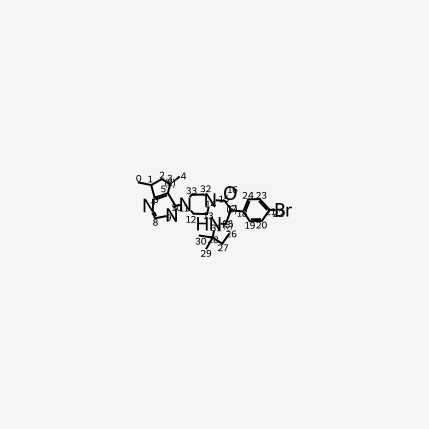 CC1C[C@@H](C)c2c1ncnc2N1CCN(C(=O)[C@@H](c2ccc(Br)cc2)[C@@H]2CCC(C)(C)N2)CC1